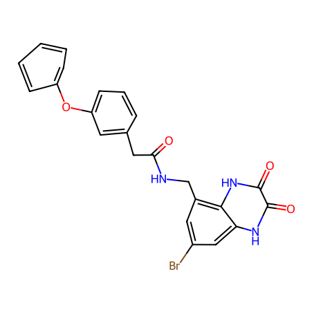 O=C(Cc1cccc(Oc2ccccc2)c1)NCc1cc(Br)cc2[nH]c(=O)c(=O)[nH]c12